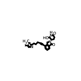 Cn1c(I)cnc1CCCC#Cc1cccc2c1CN(C1CCC(=O)NC1O)C2=O